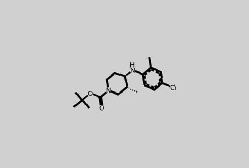 Cc1cc(Cl)ccc1N[C@@H]1CCN(C(=O)OC(C)(C)C)C[C@H]1C